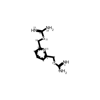 N=C(N)SCc1cccc(CSC(=N)N)n1